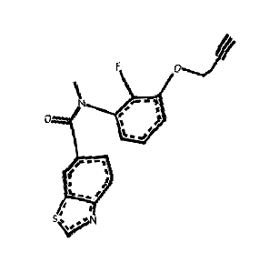 C#CCOc1cccc(N(C)C(=O)c2ccc3ncsc3c2)c1F